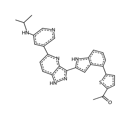 CC(=O)c1ccc(-c2cccc3[nH]c(-c4n[nH]c5ccc(-c6cncc(NC(C)C)c6)nc45)cc23)s1